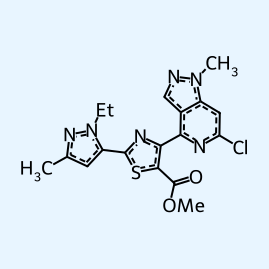 CCn1nc(C)cc1-c1nc(-c2nc(Cl)cc3c2cnn3C)c(C(=O)OC)s1